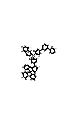 c1ccc(-c2cccc(-c3ccc(N(c4ccc(-c5cccc6c5-c5ccccc5C6(c5ccccc5)c5ccccc5)cc4)c4ccc5ccccc5c4)cc3)c2)cc1